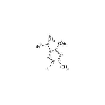 COc1cc(C)c(F)cc1C(C)C(C)C